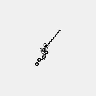 CCCCCCCCCCCCCCOC(=O)OCn1c(=O)oc2c(N3CCN(Cc4cccc(-c5ccccc5)c4)CC3)cccc21